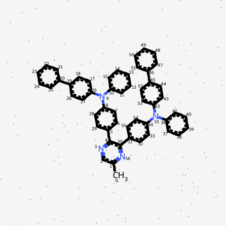 Cc1cnc(-c2ccc(N(c3ccccc3)c3ccc(-c4ccccc4)cc3)cc2)c(-c2ccc(N(c3ccccc3)c3ccc(-c4ccccc4)cc3)cc2)n1